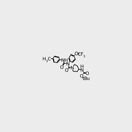 Cc1ccc(NC(=O)N(C(=O)N2CCC(NC(=O)OC(C)(C)C)CC2)c2ccc(OC(F)(F)F)cc2)cc1